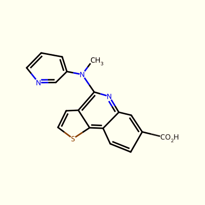 CN(c1cccnc1)c1nc2cc(C(=O)O)ccc2c2sccc12